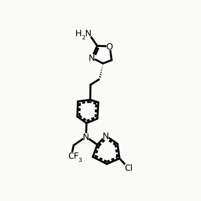 NC1=N[C@@H](CCc2ccc(N(CC(F)(F)F)c3ccc(Cl)cn3)cc2)CO1